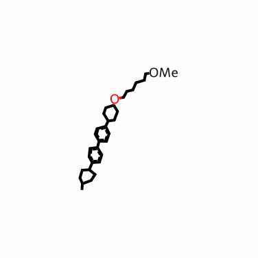 COCCCCCCOC1CCC(c2ccc(-c3ccc(C4CCC(C)CC4)cc3)cc2)CC1